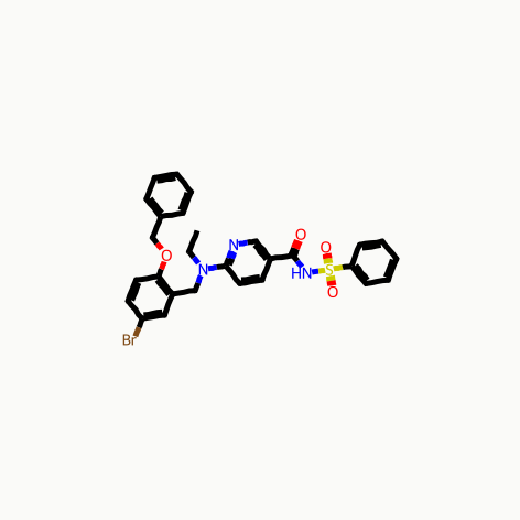 CCN(Cc1cc(Br)ccc1OCc1ccccc1)c1ccc(C(=O)NS(=O)(=O)c2ccccc2)cn1